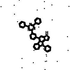 c1ccc(-c2nc(-c3ccccc3)nc(-c3cccc(-c4cc5[nH]ccc5c5c4c4ccccc4n5-c4ccccc4)c3)n2)cc1